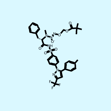 Cc1ccc(-c2cc(C(F)(F)F)nn2-c2ccc(S(=O)(=O)NC(=O)[C@H](Cc3ccccc3)N(C)/[N+]([O-])=N/OCOC(=O)C(C)(C)C)cc2)cc1